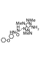 CNc1nc(N)c2nc(NC)n(CCNC(=O)Nc3ccc(Oc4ccccc4)cc3)c2c1NC